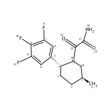 C[C@H]1CC[C@H](c2cc(F)c(F)c(F)c2)N(C(=O)C(N)=O)C1